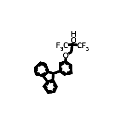 OC(COc1cccc(C2c3ccccc3-c3ccccc32)c1)(C(F)(F)F)C(F)(F)F